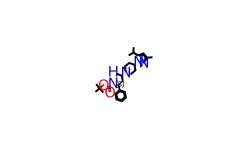 Cc1cc(C(C)C)n(C2CCN(C(C)C[C@H](NC(=O)OC(C)(C)C)c3ccccc3)CC2)n1